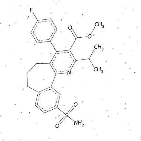 COC(=O)c1c(C(C)C)nc2c(c1-c1ccc(F)cc1)CCCc1ccc(S(N)(=O)=O)cc1-2